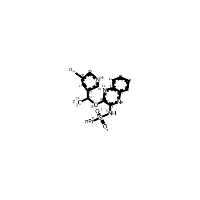 CCCS(=O)(=O)Nc1nc2ccccc2nc1OC(c1cncc(F)c1)C(F)(F)F